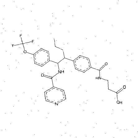 CCCC(c1ccc(C(=O)NCCC(=O)O)cc1)C(NC(=O)c1ccncc1)c1ccc(OC(F)(F)F)cc1